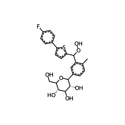 Cc1ccc(C2OC(CO)[C@@H](O)C(O)[C@H]2O)cc1C(OO)c1ccc(-c2ccc(F)cc2)s1